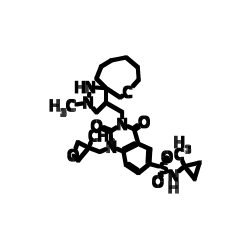 CN1CC(Cn2c(=O)c3cc(S(=O)(=O)NC4(C)CC4)ccc3n(CC3(C)COC3)c2=O)C2(CCCCCCCC2)N1